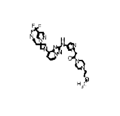 COCCN1CCN(C(=O)Cn2cc(Nc3nc4c(N5CC(CC#N)(n6cc(C(F)(F)F)cn6)C5)cccn4n3)cn2)CC1